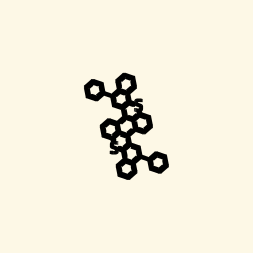 c1ccc(-c2cc3c(sc4cccc5c4c3c3cccc4sc6c7ccccc7c(-c7ccccc7)cc6c5c43)c3ccccc23)cc1